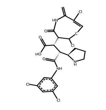 C=C1NC(=O)C([C@@H](C(=O)O)[C@@H](C(=O)Nc2cc(Cl)cc(Cl)c2)[C@H]2CCCN2)C(Cl)C/C=C\1Cl